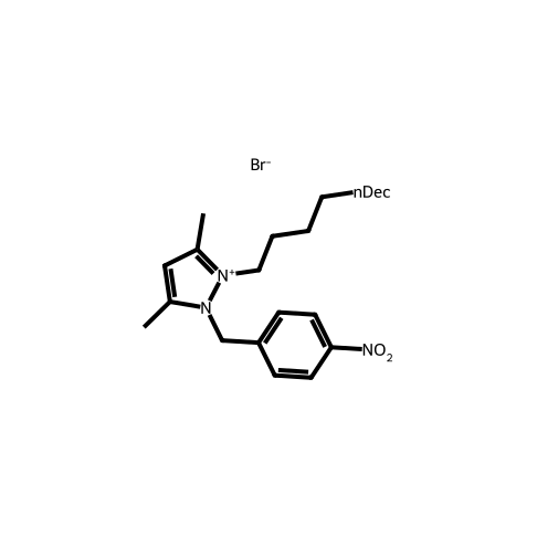 CCCCCCCCCCCCCC[n+]1c(C)cc(C)n1Cc1ccc([N+](=O)[O-])cc1.[Br-]